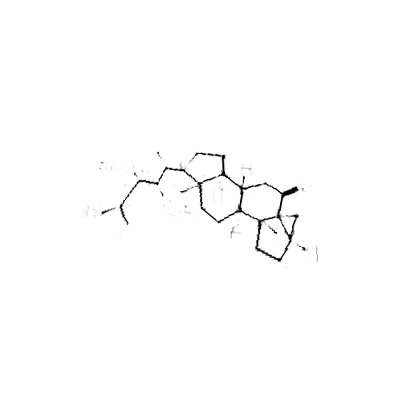 CC(=O)O[C@H]([C@@H](C)[C@H]1CC[C@H]2[C@@H]3CC(=O)[C@]45C[C@@H]4CC[C@]5(C)[C@H]3CC[C@]12C)[C@H](OC(C)=O)[C@@H](C)C(C)C